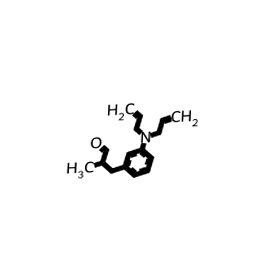 C=CCN(CC=C)c1cccc(CC(C)C=O)c1